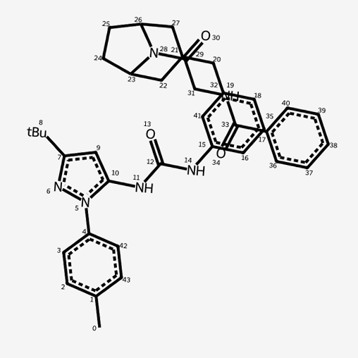 Cc1ccc(-n2nc(C(C)(C)C)cc2NC(=O)Nc2cccc(CC3CC4CCC(C3)N4C(=O)CNC(=O)c3ccccc3)c2)cc1